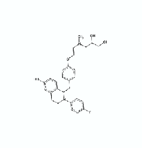 CN(CCOc1ccc(CC2c3ccc(O)cc3CCN2c2ccc(F)cc2)cc1)CC(O)CO